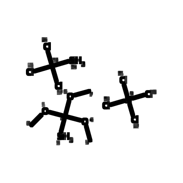 COC([SiH3])(OC)OC.Cl[Si](Cl)(Cl)Cl.[SiH3]C(Cl)(Cl)Cl